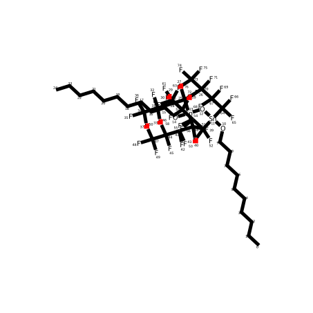 CCCCCCCCCC[O][Sn]([O][Sn]([O]CCCCCCCCCC)([C](F)(F)C(F)(F)C(F)(F)C(F)(F)F)[C](F)(F)C(F)(F)C(F)(F)C(F)(F)F)([C](F)(F)C(F)(F)C(F)(F)C(F)(F)F)[C](F)(F)C(F)(F)C(F)(F)C(F)(F)F